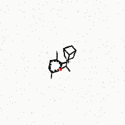 Cc1ccc(F)c(NC2C3CC2CN(C(C)C)C3)n1